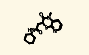 CN1C(=O)C(CC(=O)NC2CCCCC2)Sc2ncccc21